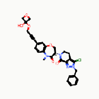 CN1C(=O)[C@@H](N2CCc3c(nn(Cc4ccccc4)c3Cl)C2=O)COc2cc(C#CCOC3(O)COC3)ccc21